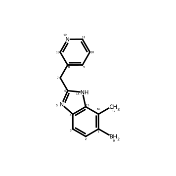 Bc1ccc2nc(Cc3cccnc3)[nH]c2c1C